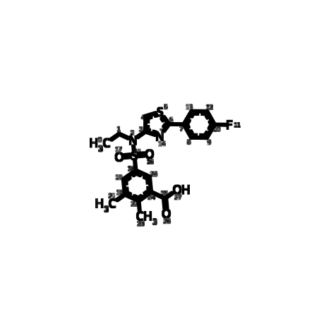 CCN(c1csc(-c2ccc(F)cc2)n1)S(=O)(=O)c1cc(C)c(C)c(C(=O)O)c1